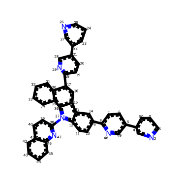 c1cncc(-c2ccc(-c3ccc4c(c3)c3cc(-c5ccc(-c6cccnc6)cn5)c5ccccc5c3n4-c3ccc4ccccc4n3)nc2)c1